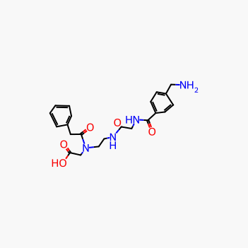 NCc1ccc(C(=O)NCC(=O)NCCN(CC(=O)O)C(=O)Cc2ccccc2)cc1